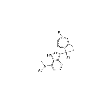 CCC1(c2c[nH]c3c(N(C)C(C)=O)cccc23)CCc2cc(F)ccc21